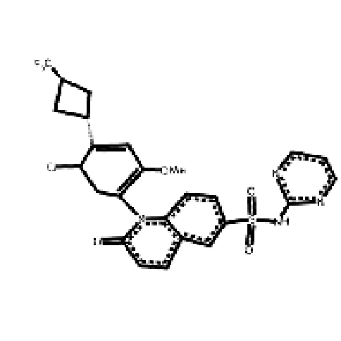 COC1=C(n2c(=O)ccc3cc(S(=O)(=O)Nc4ncccn4)ccc32)CC(Cl)C([C@H]2C[C@H](C(F)(F)F)C2)=C1